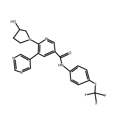 O=C(Nc1ccc(SC(F)(F)F)cc1)c1cnc(N2CCC(O)C2)c(-c2cncnc2)c1